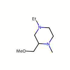 CCN1CCN(C)C(COC)C1